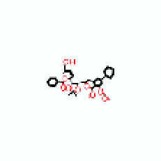 COCOc1cc(-c2ccccc2)cc(/C=C/C[C@@H]2OC(C)(C)O[C@@H]2C(/C=C\[C@@H](C)[C@H](C)O)OC(=O)c2ccccc2)c1C(=O)OC